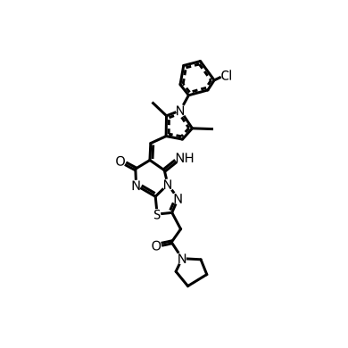 Cc1cc(/C=C2\C(=N)N3N=C(CC(=O)N4CCCC4)SC3=NC2=O)c(C)n1-c1cccc(Cl)c1